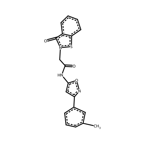 Cc1cccc(-c2cc(NC(=O)Cn3sc4ccccc4c3=O)on2)c1